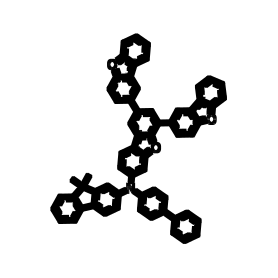 CC1(C)c2ccccc2-c2ccc(N(c3ccc(-c4ccccc4)cc3)c3ccc4c(c3)oc3c(-c5ccc6oc7ccccc7c6c5)cc(-c5ccc6oc7ccccc7c6c5)cc34)cc21